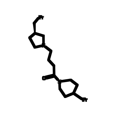 CC(C)C[C@@H]1CCN(CCCC(=O)N2CCC(C(C)C)CC2)C1